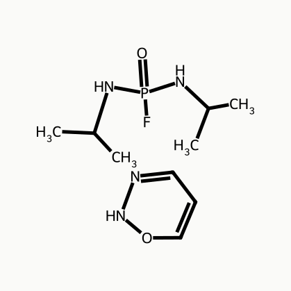 C1=CONN=C1.CC(C)NP(=O)(F)NC(C)C